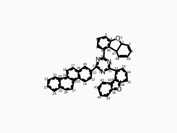 C1=CC2Oc3cccc(-c4nc(-c5ccc6c(ccc7c8ccccc8ccc67)c5)nc(-c5cccc6oc7ccccc7c56)n4)c3C2C=C1